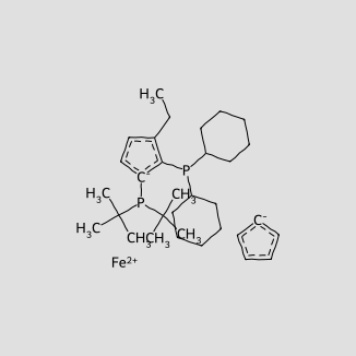 CCc1cc[c-](P(C(C)(C)C)C(C)(C)C)c1P(C1CCCCC1)C1CCCCC1.[Fe+2].c1cc[cH-]c1